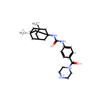 C[C@]12CC3CC(NC(=O)Nc4ccc(C(=O)N5CCNCC5)cc4)(C1)C[C@@](C)(C3)C2